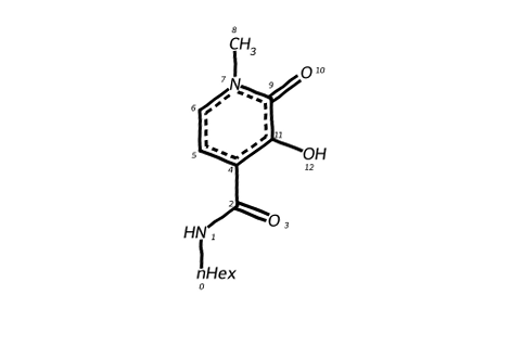 CCCCCCNC(=O)c1ccn(C)c(=O)c1O